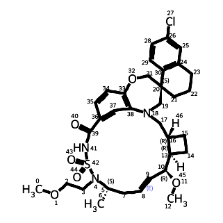 COCCN1[C@@H](C)C/C=C/[C@H](OC)[C@@H]2CC[C@H]2CN2C[C@@]3(CCCc4cc(Cl)ccc43)COc3ccc(cc32)C(=O)NS1(=O)=O